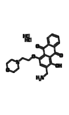 Cl.Cl.NCc1cc(OCCN2CCOCC2)c2c(c1O)C(=O)c1ccccc1C2=O